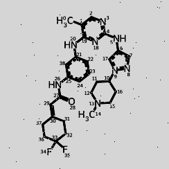 Cc1cnc(Nc2cnn(C3CCN(C)CC3)c2)nc1Nc1cccc(NC(=O)C=C2CCC(F)(F)CC2)c1